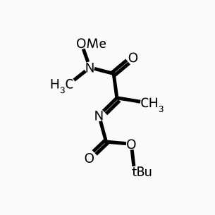 CON(C)C(=O)C(C)=NC(=O)OC(C)(C)C